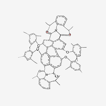 Cc1cc(C)c(Oc2cc3c4c(cc(Oc5c(C)cc(C)cc5C)c5c6c(Oc7c(C)cc(C)cc7C)cc7c8c(cc(Oc9c(C)cc(C)cc9C)c(c2c45)c86)C(=O)N(c2c(C(C)C)cccc2C(C)C)C7=O)C(=O)N(c2c(C(C)C)cccc2C(C)C)C3=O)c(C)c1